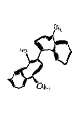 Oc1ccc(-c2cc(O)c3ccccc3c2O)c2ccccc12